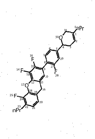 CCCC1=CCC(c2ccc(-c3cc4c(c(F)c3F)Oc3c(ccc(CCC)c3F)C4)c(F)c2)OC1